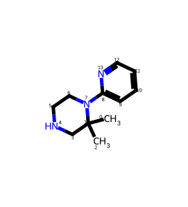 CC1(C)CNCCN1c1ccccn1